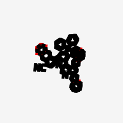 N#Cc1cc2c(c3c1C1c4ccccc4C3c3ccccc31)c1cc(C(c3ccccc3)(c3ccccc3)c3ccccc3)cc3c4c5c(ncc4n2c13)C(Cc1ccccc1)(Cc1ccccc1)CC5(Cc1ccccc1)Cc1ccccc1